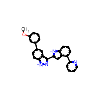 COc1cccc(-c2ccc3[nH]nc(-c4cc5c(-c6ccccn6)cccc5[nH]4)c3c2)c1